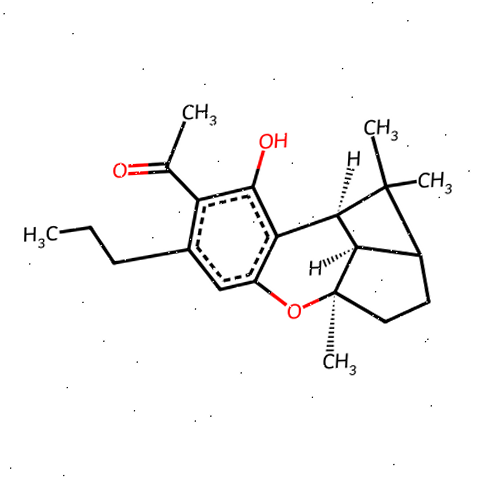 CCCc1cc2c(c(O)c1C(C)=O)[C@@H]1[C@H]3C(CC[C@@]3(C)O2)C1(C)C